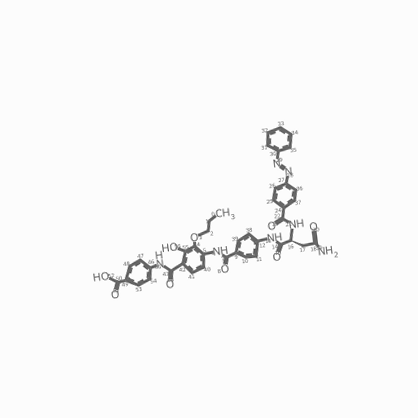 CCCOc1c(NC(=O)c2ccc(NC(=O)[C@H](CC(N)=O)NC(=O)c3ccc(/N=N/c4ccccc4)cc3)cc2)ccc(C(=O)Nc2ccc(C(=O)O)cc2)c1O